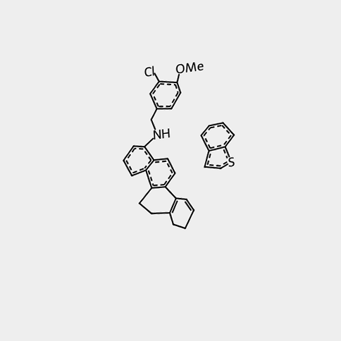 COc1ccc(CNc2cccc3c4c(ccc23)C2=C(CCC=C2)CC4)cc1Cl.c1ccc2sccc2c1